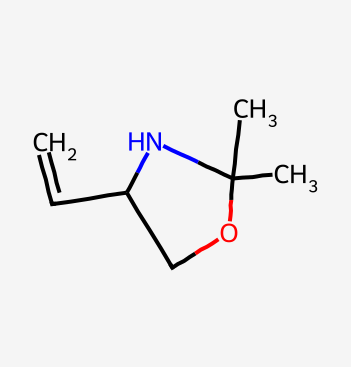 C=CC1COC(C)(C)N1